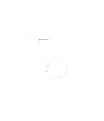 [CH2]C(N)Cc1ccc(C)cc1